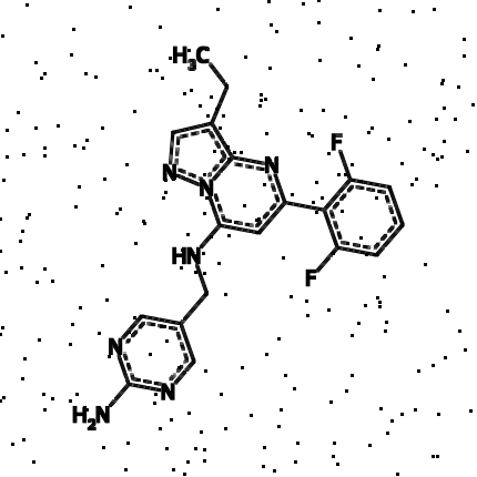 CCc1cnn2c(NCc3cnc(N)nc3)cc(-c3c(F)cccc3F)nc12